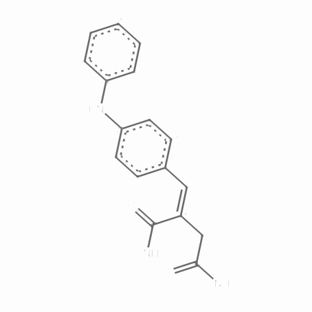 NC(=O)CC(=Cc1ccc(Nc2ccccc2)cc1)C(N)=O